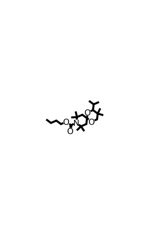 CCCCOC(=O)N1C(C)(C)CC2(CC1(C)C)OCC(C)(C)C(C(C)C)O2